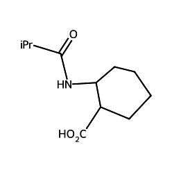 CC(C)C(=O)NC1CCCCC1C(=O)O